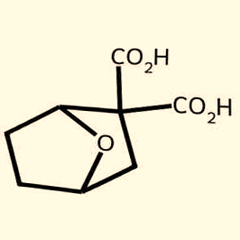 O=C(O)C1(C(=O)O)CC2CCC1O2